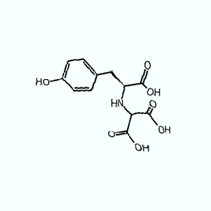 O=C(O)C(N[C@@H](Cc1ccc(O)cc1)C(=O)O)C(=O)O